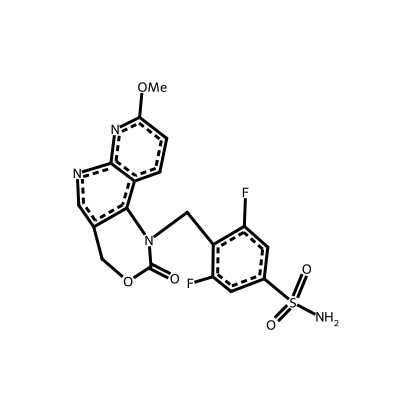 COc1ccc2c3c(cnc2n1)COC(=O)N3Cc1c(F)cc(S(N)(=O)=O)cc1F